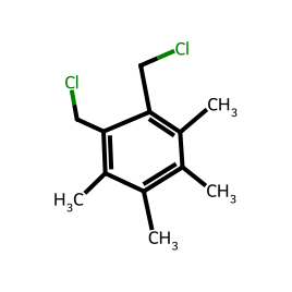 Cc1c(C)c(C)c(CCl)c(CCl)c1C